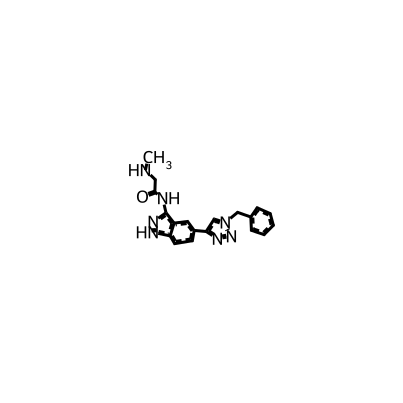 CNCC(=O)Nc1n[nH]c2ccc(-c3cn(Cc4ccccc4)nn3)cc12